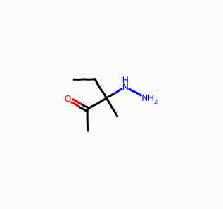 CCC(C)(NN)C(C)=O